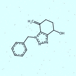 C=C1CCC(O)c2nnn(Cc3ccccc3)c21